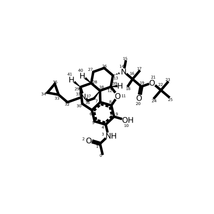 CC(=O)Nc1cc2c3c(c1O)O[C@H]1[C@@H](N(C)C(C)(C)C(=O)OC(C)(C)C)CC[C@H]4[C@@H](C2)N(CC2CC2)CC[C@@]341